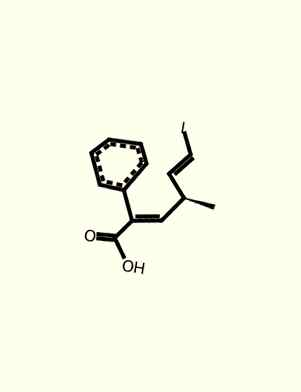 C[C@H](/C=C/I)/C=C(/C(=O)O)c1ccccc1